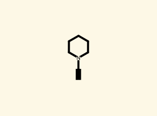 C#CN1CCCCC1